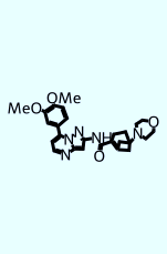 COc1ccc(-c2ccnc3cc(NC(=O)C4=C5CC(N6CCOCC6)(CC4)C5)nn23)cc1OC